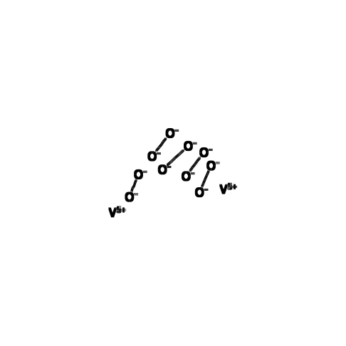 [O-][O-].[O-][O-].[O-][O-].[O-][O-].[O-][O-].[V+5].[V+5]